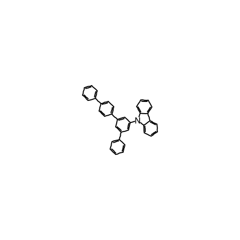 c1ccc(-c2ccc(-c3cc(-c4ccccc4)cc(-n4c5ccccc5c5ccccc54)c3)cc2)cc1